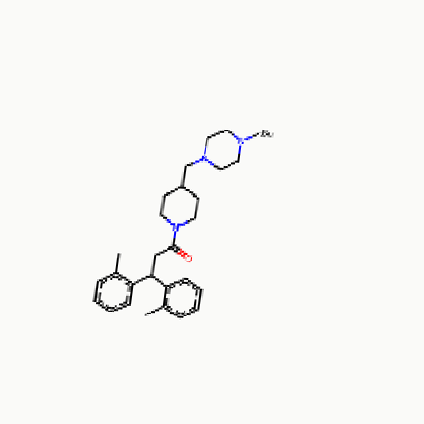 Cc1ccccc1C(CC(=O)N1CCC(CN2CCN(C(C)(C)C)CC2)CC1)c1ccccc1C